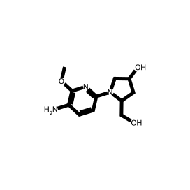 COc1nc(N2CC(O)CC2CO)ccc1N